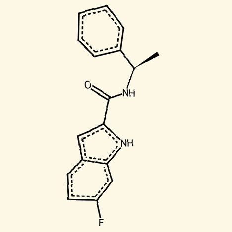 C[C@@H](NC(=O)c1cc2ccc(F)cc2[nH]1)c1ccccc1